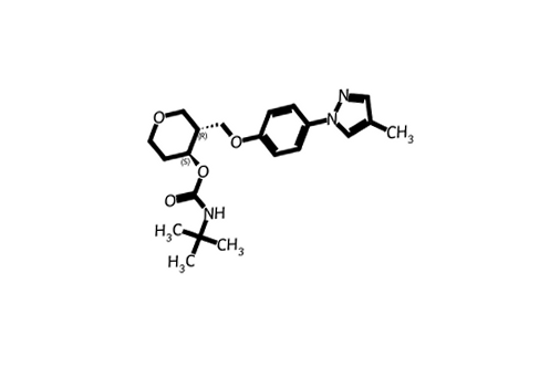 Cc1cnn(-c2ccc(OC[C@H]3COCC[C@@H]3OC(=O)NC(C)(C)C)cc2)c1